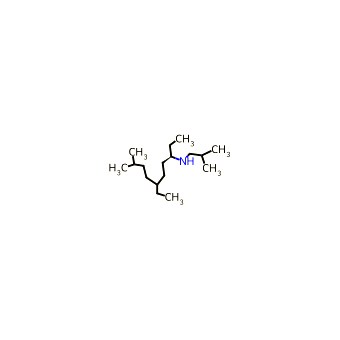 CCC(CCC(C)C)CC[C@@H](CC)NCC(C)C